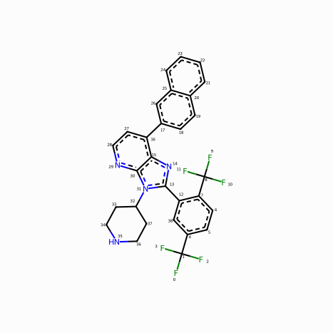 FC(F)(F)c1ccc(C(F)(F)F)c(-c2nc3c(-c4ccc5ccccc5c4)ccnc3n2C2CCNCC2)c1